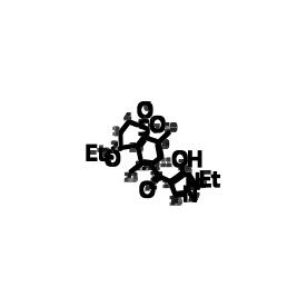 CCOC1CCS(=O)(=O)c2c(C)cc(C(=O)c3cnn(CC)c3O)c(C)c21